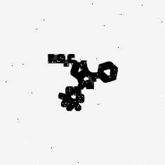 CCOC(=O)c1cc2c(B3OC(C)(C)C(C)(C)O3)nn(-c3ccccc3)c2s1